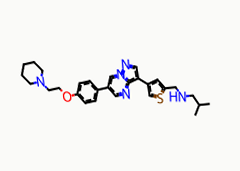 CC(C)CNCc1cc(-c2cnn3cc(-c4ccc(OCCN5CCCCC5)cc4)cnc23)cs1